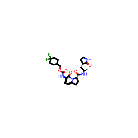 C[C@H](C[C@@H]1CCNC1=O)NC(=O)[C@@H]1CCc2ccc(NC(=O)OCC3CCC(F)(F)CC3)c(=O)n21